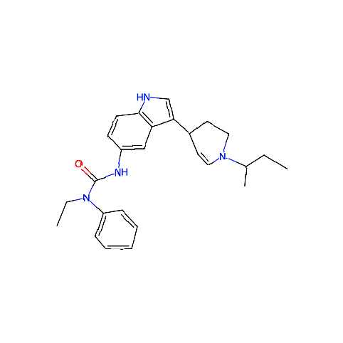 CCC(C)N1C=CC(c2c[nH]c3ccc(NC(=O)N(CC)c4ccccc4)cc23)CC1